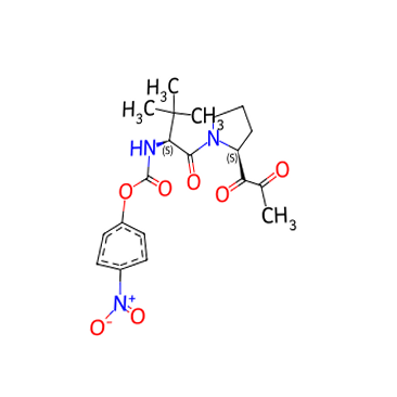 CC(=O)C(=O)[C@@H]1CCCN1C(=O)[C@@H](NC(=O)Oc1ccc([N+](=O)[O-])cc1)C(C)(C)C